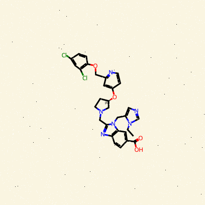 CCn1cncc1Cn1c(CN2CC[C@@H](Oc3ccnc(COc4ccc(Cl)cc4Cl)c3)C2)nc2ccc(C(=O)O)cc21